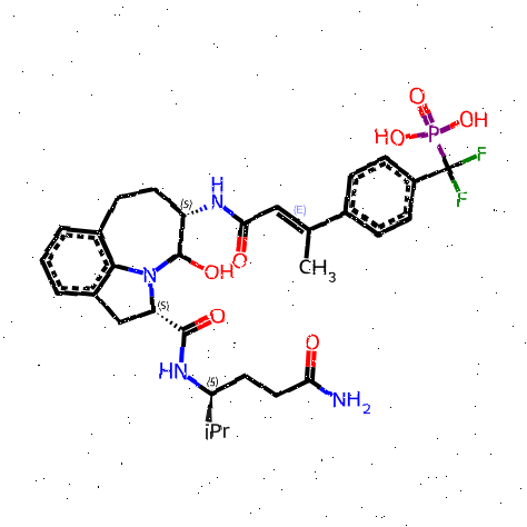 C/C(=C\C(=O)N[C@H]1CCc2cccc3c2N(C1O)[C@H](C(=O)N[C@@H](CCC(N)=O)C(C)C)C3)c1ccc(C(F)(F)P(=O)(O)O)cc1